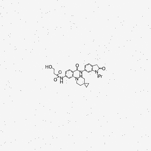 CC(C)N1C(=O)Cc2ccc(NC(=O)c3ccc(NS(=O)(=O)CCO)cc3N3CCC4(CC3)CC4)cc21